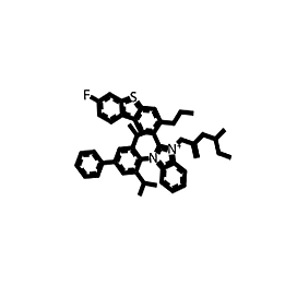 C=C(CC(C)CC)C[n+]1c(-c2cc3c(cc2CCC)sc2cc(F)ccc23)n(-c2c(C(C)C)cc(-c3ccccc3)cc2C(C)C)c2ccccc21